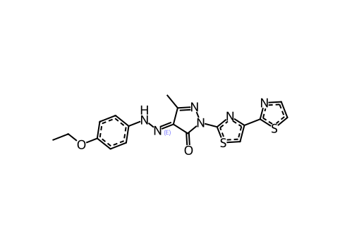 CCOc1ccc(N/N=C2/C(=O)N(c3nc(-c4nccs4)cs3)N=C2C)cc1